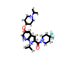 CC(C)N1CCC(Oc2cnc3c(c2)cc(C(=O)N2CCC(F)(F)CC2)n3C(C)C)CC1